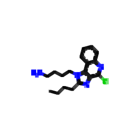 CCCCc1nc2c(Cl)nc3ccccc3c2n1CCCCN